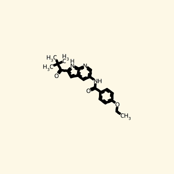 CCOc1ccc(C(=O)Nc2cnc3[nH]c(C(=O)C(C)(C)C)cc3c2)cc1